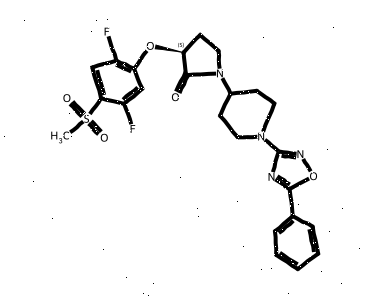 CS(=O)(=O)c1cc(F)c(O[C@H]2CCN(C3CCN(c4noc(-c5ccccc5)n4)CC3)C2=O)cc1F